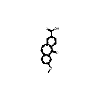 COc1ccc2ccc3cc(C(=O)O)ccc3c(=O)c2c1